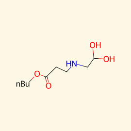 CCCCOC(=O)CCNCC(O)O